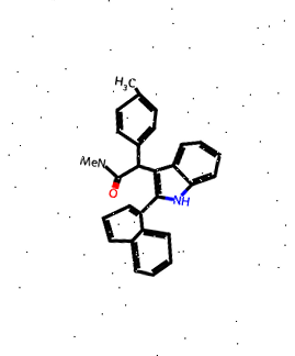 CNC(=O)C(c1ccc(C)cc1)c1c(-c2cccc3ccccc23)[nH]c2ccccc12